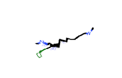 C=NCCC/C=C/C=C(Cl)\C=N/C